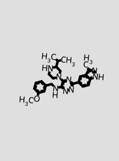 COc1cccc(CNc2nnc(-c3ccc4[nH]nc(C)c4c3)nc2N2CCNC(C(C)C)C2)c1